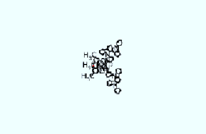 Cc1cc(C)c(B(c2nc(-c3cccc(-n4c5ccccc5c5ccc6c(c7ccccc7n6-c6ccccc6)c54)c3)nc(-c3cccc(-n4c5ccccc5c5ccc6c(c7ccccc7n6-c6ccccc6)c54)c3)n2)c2c(C)cc(C)cc2C)c(C)c1